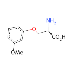 COc1cccc(OC[C@@H](N)C(=O)O)c1